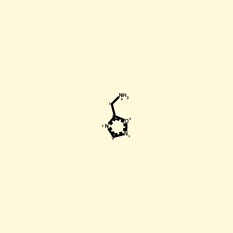 NCc1n[c]no1